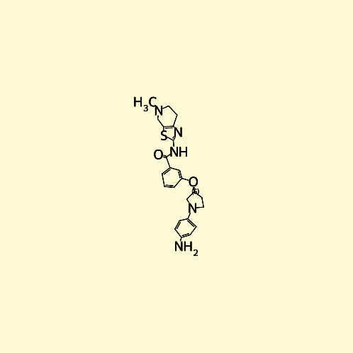 CN1CCc2nc(NC(=O)c3cccc(O[C@H]4CCN(c5ccc(N)cc5)C4)c3)sc2C1